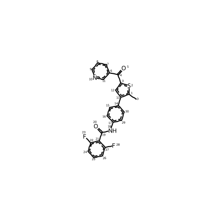 Cc1sc(C(=O)c2cccnc2)cc1-c1ccc(NC(=O)c2c(F)cccc2F)cc1